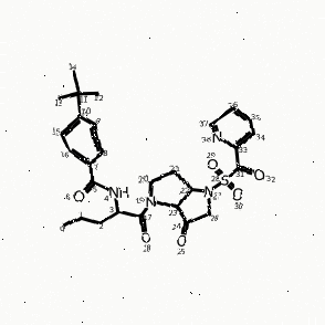 CCCC(NC(=O)c1ccc(C(C)(C)C)cc1)C(=O)N1CCC2C1C(=O)CN2S(=O)(=O)C(=O)c1ccccn1